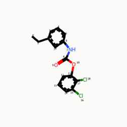 CCc1cccc(NC(=O)Oc2cccc(Cl)c2Cl)c1